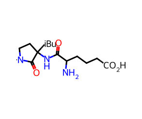 CCC(C)C1(NC(=O)C(N)CCCC(=O)O)CC[N]C1=O